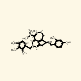 COc1ccc(CNC2CC3=NN(Cc4ncc(C)c(OC)c4C)N=C4C(N(C(=O)O)C(=O)O)=NSCC2=C34)c(OC)c1